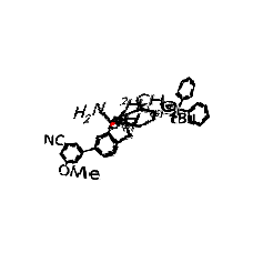 [2H]C1([2H])OC(N)=NC12c1cc(-c3cc(C#N)cc(OC)c3)ccc1C[C@@]21CC[C@H](O[Si](c2ccccc2)(c2ccccc2)C(C)(C)C)[C@@H](C)C1